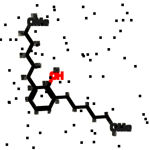 COCCCCCc1cccc(CCCCCOC)c1O